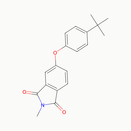 CN1C(=O)c2ccc(Oc3ccc(C(C)(C)C)cc3)cc2C1=O